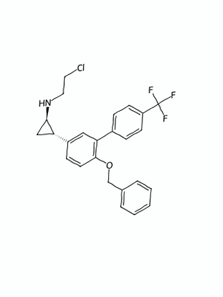 FC(F)(F)c1ccc(-c2cc([C@@H]3C[C@H]3NCCCl)ccc2OCc2ccccc2)cc1